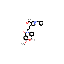 COc1ccc(C(=O)N(CCCc2cc[n+](Cc3ccccc3)cc2C(C)=O)c2ccccc2)cc1OC